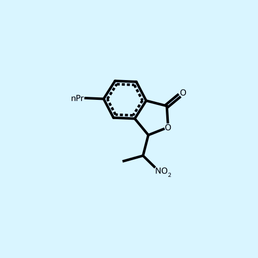 CCCc1ccc2c(c1)C(C(C)[N+](=O)[O-])OC2=O